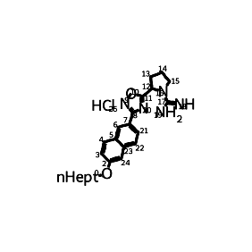 CCCCCCCOc1ccc2cc(-c3noc(C4CCCN4C(=N)N)n3)ccc2c1.Cl